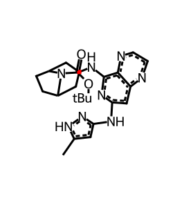 Cc1cc(Nc2cc3nccnc3c(NC3CC4CCC(C3)N4C(=O)OC(C)(C)C)n2)n[nH]1